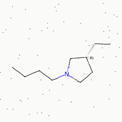 CCCCN1CC[C@@H](CC)C1